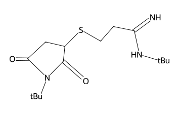 CC(C)(C)NC(=N)CCSC1CC(=O)N(C(C)(C)C)C1=O